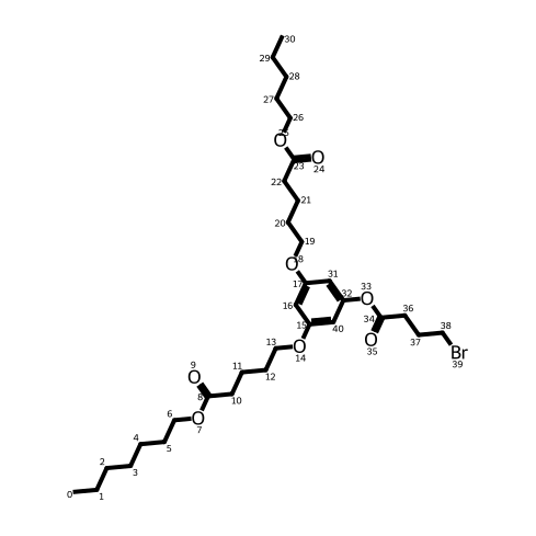 CCCCCCCOC(=O)CCCCOc1cc(OCCCCC(=O)OCCCCC)cc(OC(=O)CCCBr)c1